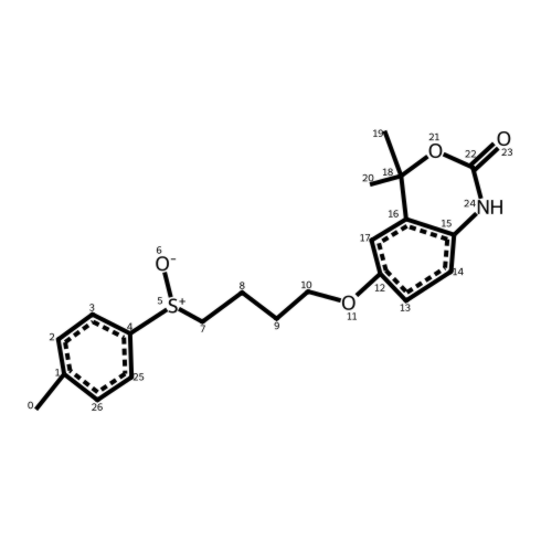 Cc1ccc([S+]([O-])CCCCOc2ccc3c(c2)C(C)(C)OC(=O)N3)cc1